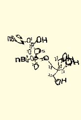 CCCCOP(=O)(O)OP(=O)(OCCCC)OCC(CO)(CO)CO